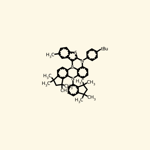 Cc1ccc2sc3c(c2c1)B1c2ccc4c(c2N(c2cccc5c2C(C)(C)CC5(C)C)c2cccc(c21)N3c1ccc(C(C)(C)C)cc1)C(C)(C)CC4(C)C